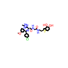 COc1ccc2c(c1)C(c1ccc(Cl)cc1)=N[C@@H](CC(=O)NCC(=O)NCCc1cc3c(O)c(O)ccc3s1)c1nnc(C)n1-2